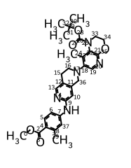 COC(=O)c1ccc(Nc2cc3c(cn2)CCN(c2cnc4c(c2C)N(C(=O)OC(C)(C)C)CCO4)C3)cc1C